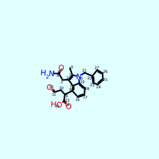 Cc1c(CC(N)=O)c2c(C(CC=O)C(=O)O)cccc2n1Cc1ccccc1